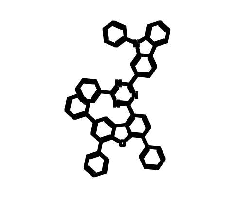 c1ccc(-c2cc(-c3ccccc3)c3oc4c(-c5ccccc5)ccc(-c5nc(-c6ccccc6)nc(-c6ccc7c8ccccc8n(-c8ccccc8)c7c6)n5)c4c3c2)cc1